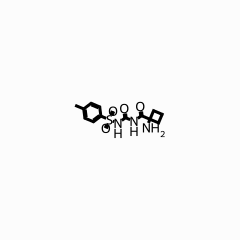 Cc1ccc(S(=O)(=O)NC(=O)NC(=O)C2(N)CCC2)cc1